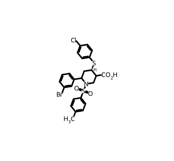 Cc1ccc(S(=O)(=O)N2CC(C(=O)O)[C@H](Sc3ccc(Cl)cc3)CC2c2cccc(Br)c2)cc1